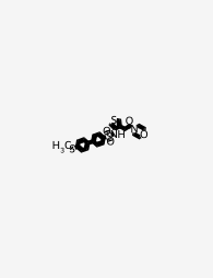 CSc1ccc(-c2ccc(S(=O)(=O)Nc3cscc3CC(=O)N3CCOCC3)cc2)cc1